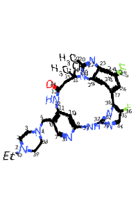 CCN1CCN(Cc2cnc3cc2NC(=O)CC(C)(C)n2c(C)nc4c(F)cc(cc42)-c2nc(ncc2F)N3)CC1